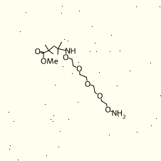 COC(=O)C(C)(C)CC(C)(C)NOCCOCCOCCOCCON